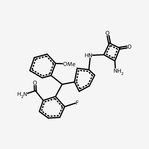 COc1ccccc1C(c1cccc(Nc2c(N)c(=O)c2=O)c1)c1c(F)cccc1C(N)=O